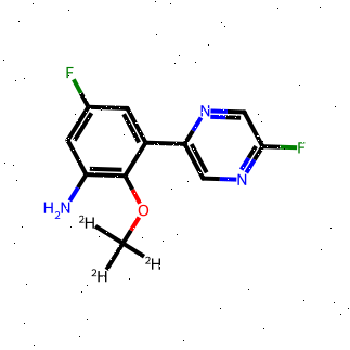 [2H]C([2H])([2H])Oc1c(N)cc(F)cc1-c1cnc(F)cn1